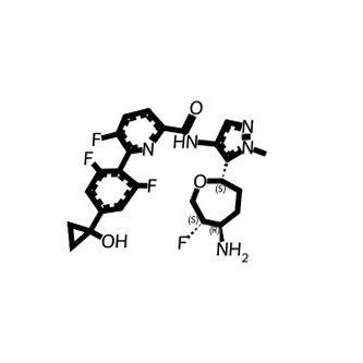 Cn1ncc(NC(=O)c2ccc(F)c(-c3c(F)cc(C4(O)CC4)cc3F)n2)c1[C@@H]1CC[C@@H](N)[C@H](F)CO1